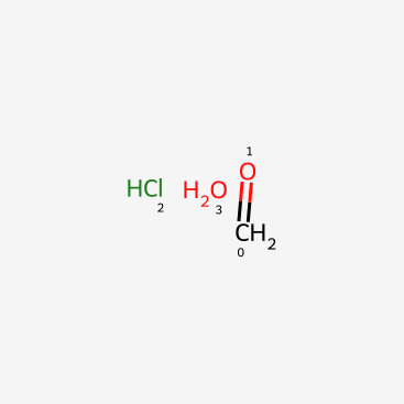 C=O.Cl.O